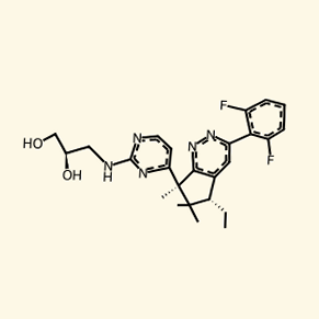 CC[C@H]1c2cc(-c3c(F)cccc3F)nnc2[C@](C)(c2ccnc(NC[C@@H](O)CO)n2)C1(C)C